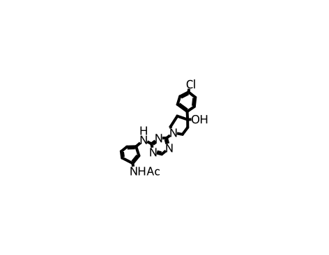 CC(=O)Nc1cccc(Nc2ncnc(N3CCC(O)(c4ccc(Cl)cc4)CC3)n2)c1